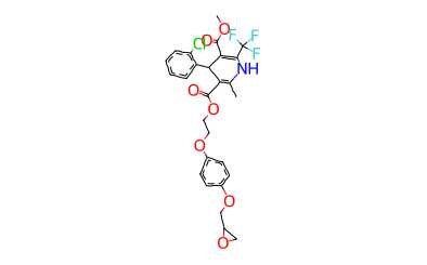 COC(=O)C1=C(C(F)(F)F)NC(C)=C(C(=O)OCCOc2ccc(OCC3CO3)cc2)C1c1ccccc1Cl